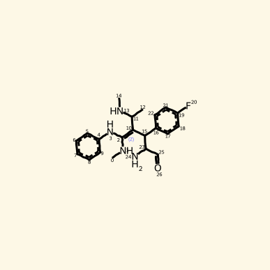 CN/C(Nc1ccccc1)=C(/C(C)NC)C(c1ccc(F)cc1)C(N)C=O